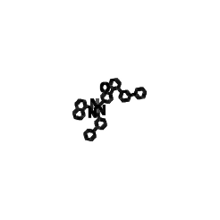 c1ccc(-c2cccc(-c3nc(-c4ccc5c(c4)oc4cccc(-c6cccc(-c7ccccc7)c6)c45)nc(-c4cccc5ccccc45)n3)c2)cc1